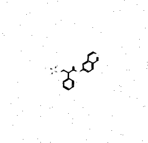 CC(C)[Si](OCC(C(=O)Nc1ccc2cnccc2c1)c1ccccc1)(C(C)C)C(C)C